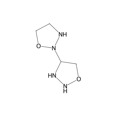 C1CON(C2CONN2)N1